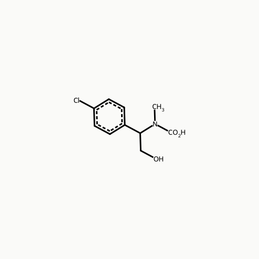 CN(C(=O)O)C(CO)c1ccc(Cl)cc1